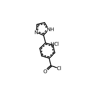 Cl.O=C(Cl)c1ccc(-c2ncc[nH]2)cc1